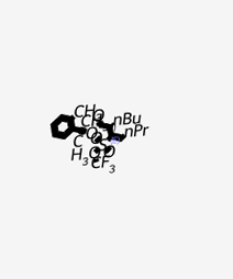 CCC/C=C(\[C@H](CCCC)C(=O)OC(C)(C)c1ccccc1C)S(=O)(=O)OC(F)(F)F